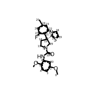 COc1ccc(OC)c(NC(=O)N2CC[C@@](c3nccs3)(c3ccc(C)cc3F)C2)c1